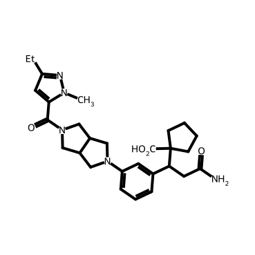 CCc1cc(C(=O)N2CC3CN(c4cccc(C(CC(N)=O)C5(C(=O)O)CCCC5)c4)CC3C2)n(C)n1